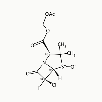 CC(=O)OCOC(=O)[C@@H]1N2C(=O)[C@@](Cl)(I)[C@H]2[S+]([O-])C1(C)C